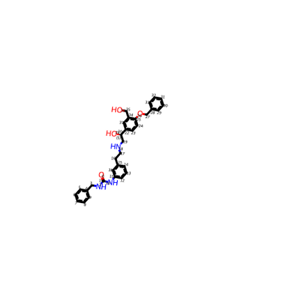 O=C(NCc1ccccc1)Nc1cccc(CCNC[C@@H](O)c2ccc(OCc3ccccc3)c(CO)c2)c1